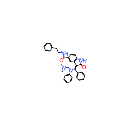 CN(C)CN(C(=C1C(=O)Nc2ccc(C(=O)NCCc3ccccc3)cc21)c1ccccc1)c1ccccc1